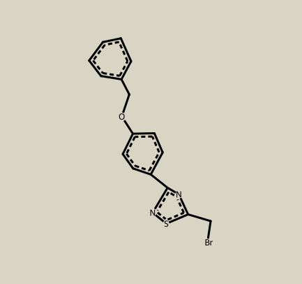 BrCc1nc(-c2ccc(OCc3ccccc3)cc2)ns1